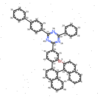 Brc1ccc2ccccc2c1-c1c(-c2ccc(-c3nc(-c4ccccc4)nc(-c4ccc(-c5ccccc5)cc4)n3)cc2)ccc2ccccc12